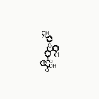 COc1cccc(OCc2ccc(C(=O)N3CCCC3C(=O)O)cc2-c2ccccc2Cl)c1